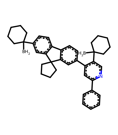 BC1(c2ccc3c(c2)C2(CCCC2)c2cc(-c4cc(-c5ccccc5)ncc4C4(B)CCCCC4)ccc2-3)CCCCC1